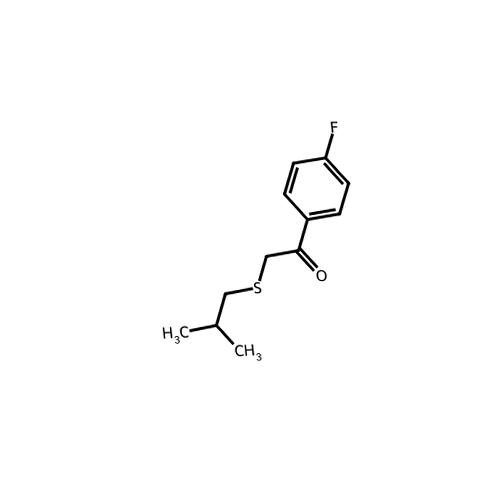 CC(C)CSCC(=O)c1ccc(F)cc1